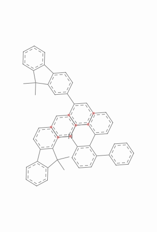 CC1(C)c2ccccc2-c2ccc(-c3cccc(N(c4cccc(-c5ccccc5)c4-c4ccccc4-c4ccccc4)c4cccc5c4C(C)(C)c4ccccc4-5)c3)cc21